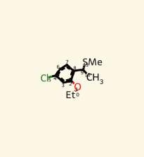 CCOc1cc(Cl)ccc1C(C)SC